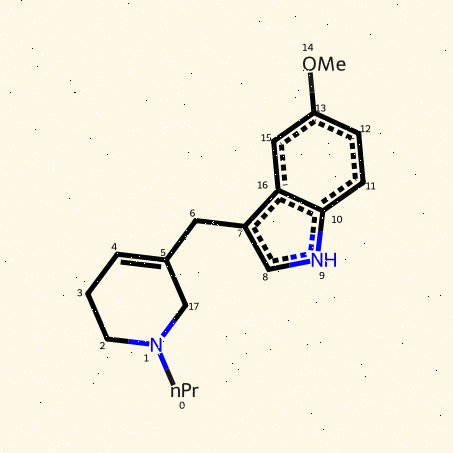 CCCN1CCC=C(Cc2c[nH]c3ccc(OC)cc23)C1